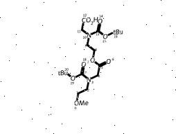 COCCN(CC(=O)OCCN(CC(=O)O)C(=O)OC(C)(C)C)C(=O)OC(C)(C)C